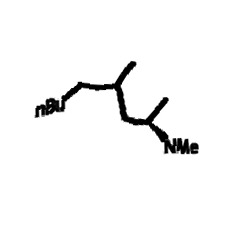 CCCCCC(C)C[C@@H](C)NC